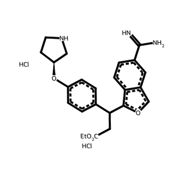 CCOC(=O)CC(c1ccc(O[C@H]2CCNC2)cc1)c1occ2cc(C(=N)N)ccc12.Cl.Cl